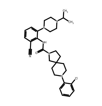 CC(C)N1CCN(c2cccc(C#N)c2NC(=O)N2CCC3(CCN(c4ccccc4Cl)CC3)C2)CC1